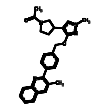 CC(=O)N1CCC(c2cn(C)nc2OCc2ccc(-c3nc4ccccc4cc3C)cc2)C1